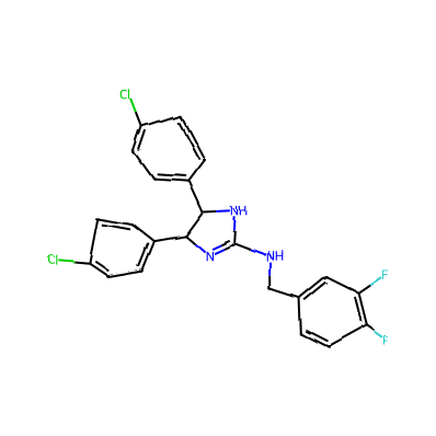 Fc1ccc(CNC2=NC(c3ccc(Cl)cc3)C(c3ccc(Cl)cc3)N2)cc1F